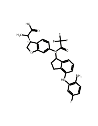 CC(C(=O)O)[C@@H]1COc2cc(N(C(=O)C(F)(F)F)C3CCc4c(Nc5cc(F)ccc5N)cccc43)ccc21